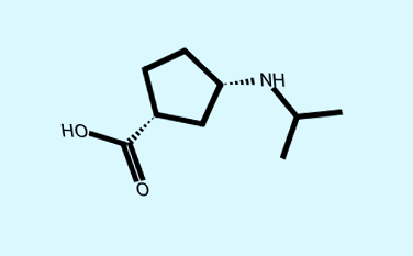 CC(C)N[C@H]1CC[C@@H](C(=O)O)C1